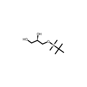 CC(C)(C)[Si](C)(C)OC[C@H](O)CO